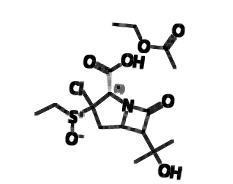 CCOC(C)=O.CC[S+]([O-])C1(Cl)CC2C(C(C)(C)O)C(=O)N2[C@H]1C(=O)O